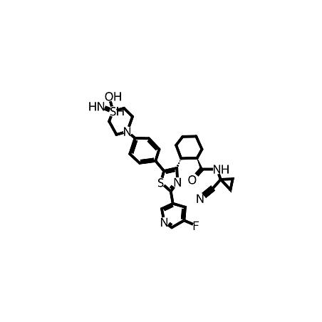 N#CC1(NC(=O)[C@@H]2CCCC[C@H]2c2nc(-c3cncc(F)c3)sc2-c2ccc(N3CC[SH](=N)(O)CC3)cc2)CC1